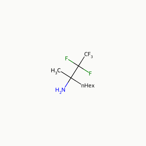 CCCCCCC(C)(N)C(F)(F)C(F)(F)F